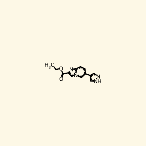 CCOC(=O)c1cn2cc(-c3cn[nH]c3)ccc2n1